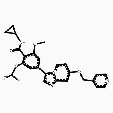 COc1cc(-c2cnc3cc(OCc4ccncc4)ccn23)cc(OC(F)F)c1C(=O)NC1CC1